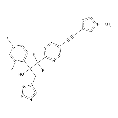 Cn1ccc(C#Cc2ccc(C(F)(F)C(O)(Cn3cnnn3)c3ccc(F)cc3F)nc2)c1